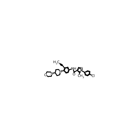 CC#Cc1cc(NC(=O)c2cnn(-c3ccc(Cl)cc3)c2C)ccc1N1CCC(N2CCOCC2)CC1